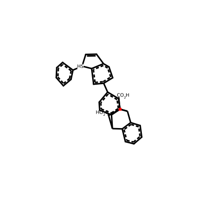 O=C(O)C1C2c3ccccc3C(c3cc(-c4ccc5c(c4)[SH](c4ccccc4)C=C5)ccc32)C1C(=O)O